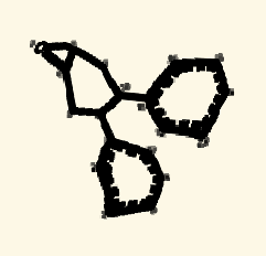 c1ccc(C2CC3OC3CC2c2ccccc2)cc1